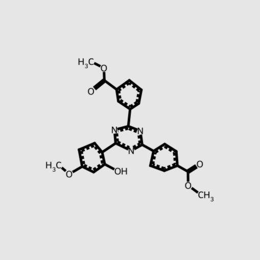 COC(=O)c1ccc(-c2nc(-c3cccc(C(=O)OC)c3)nc(-c3ccc(OC)cc3O)n2)cc1